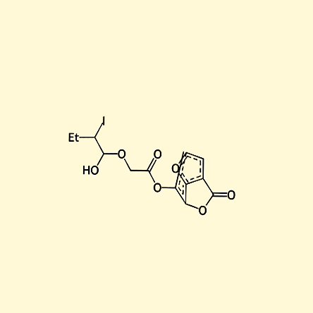 CCC(I)C(O)OCC(=O)Oc1c2c3oc1cc3C(=O)O2